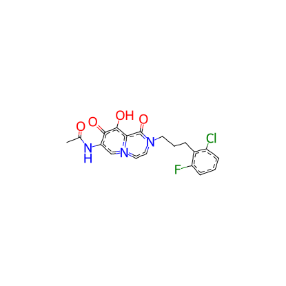 CC(=O)Nc1cn2ccn(CCCc3c(F)cccc3Cl)c(=O)c2c(O)c1=O